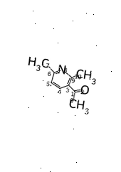 CC(=O)c1c[c]c(C)nc1C